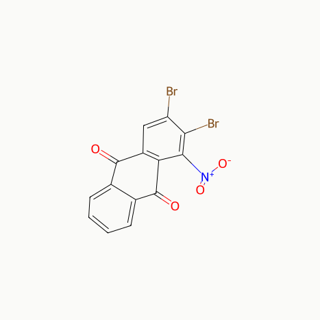 O=C1c2ccccc2C(=O)c2c1cc(Br)c(Br)c2[N+](=O)[O-]